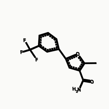 Cc1oc(-c2cccc(C(F)(F)F)c2)cc1C(N)=O